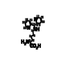 NC(CCCCNC(c1ccccn1)c1ccccn1)C(=O)O